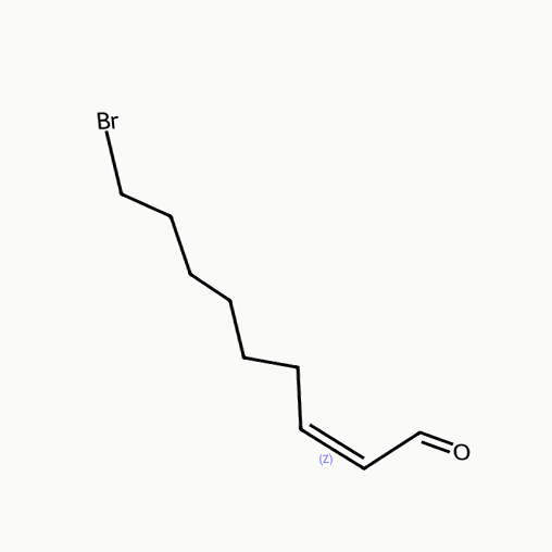 O=C/C=C\CCCCCCBr